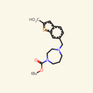 CC(C)(C)OC(=O)N1CCCN(Cc2ccc3cc(C(=O)O)sc3c2)CC1